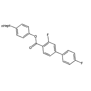 CCCCCCCc1ccc(OC(=O)c2ccc(-c3ccc(F)cc3)cc2F)cc1